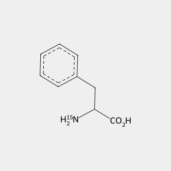 [15NH2]C(Cc1ccccc1)C(=O)O